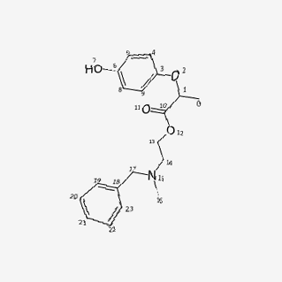 CC(Oc1ccc(O)cc1)C(=O)OCCN(C)Cc1ccccc1